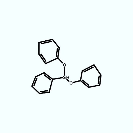 c1ccc(O[SiH](Oc2ccccc2)c2ccccc2)cc1